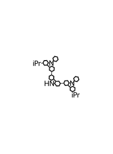 CC(C)c1ccc2c(c1)c1cc(-c3ccc4[nH]c5ccc(-c6ccc7c(c6)c6cc(C(C)C)ccc6n7-c6ccccc6)cc5c4c3)ccc1n2-c1ccccc1